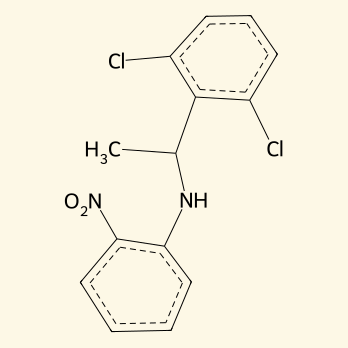 CC(Nc1ccccc1[N+](=O)[O-])c1c(Cl)cccc1Cl